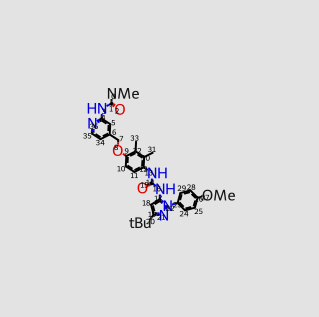 CNC(=O)Nc1cc(COc2ccc(NC(=O)Nc3cc(C(C)(C)C)nn3-c3ccc(OC)cc3)c(C)c2C)ccn1